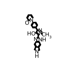 Cn1nc(-c2ccc(-n3ccccc3=O)cc2)c(O)c1-c1nc2cc3c(cc2[nH]1)CNC3